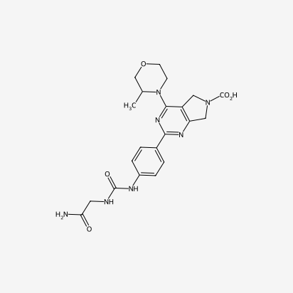 CC1COCCN1c1nc(-c2ccc(NC(=O)NCC(N)=O)cc2)nc2c1CN(C(=O)O)C2